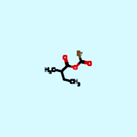 CCC(C)C(=O)OC(=O)Br